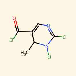 CC1C(C(=O)Cl)=CN=C(Cl)N1Cl